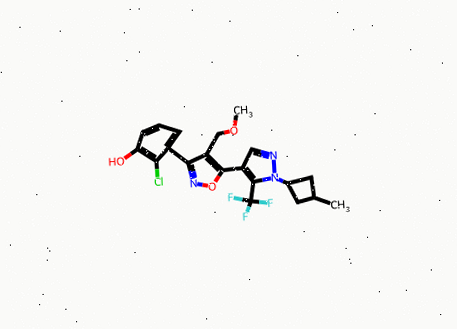 COCc1c(-c2cccc(O)c2Cl)noc1-c1cnn(C2CC(C)C2)c1C(F)(F)F